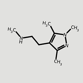 CNCCc1c(C)nn(C)c1C